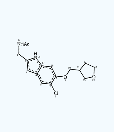 CC(=O)NCc1cc2cc(Cl)c(OCC3CCOC3)cc2[nH]1